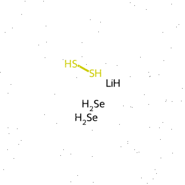 SS.[LiH].[SeH2].[SeH2]